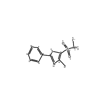 [CH2-][NH2+]S(=O)(=O)c1sc(-c2ccccc2)nc1C